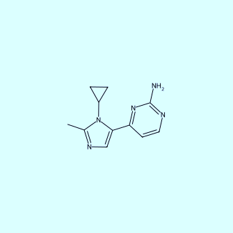 Cc1ncc(-c2ccnc(N)n2)n1C1CC1